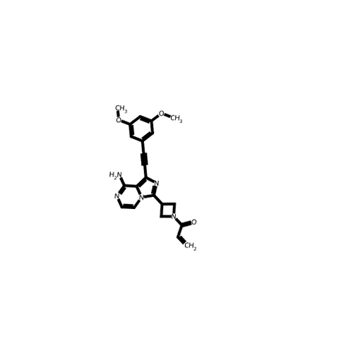 C=CC(=O)N1CC(c2nc(C#Cc3cc(OC)cc(OC)c3)c3c(N)nccn23)C1